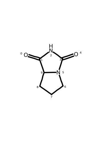 O=C1NC(=O)N2CCCC12